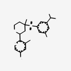 Cc1cc(Br)cnc1C1CC(C)(S(=O)(=O)c2cc(F)cc(C(F)F)c2)CCO1